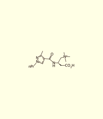 CCCn1cc(C(=O)N[C@H](CC(=O)O)C[N+](C)(C)C)c(C)n1